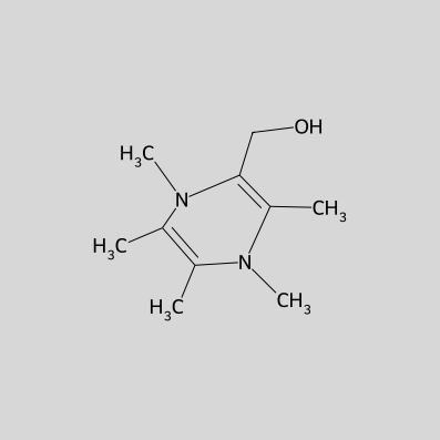 CC1=C(C)N(C)C(CO)=C(C)N1C